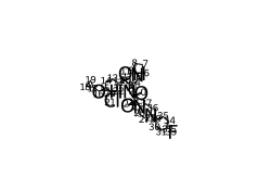 O=C(N[C@H](CN1CCCC1)[C@H](O)c1ccc(OC2CC2)c(Cl)c1)C(=O)N1CCN(c2ccc(F)cc2)CC1